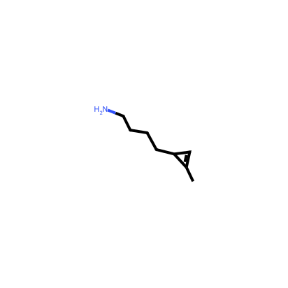 CC1=CC1CCCCN